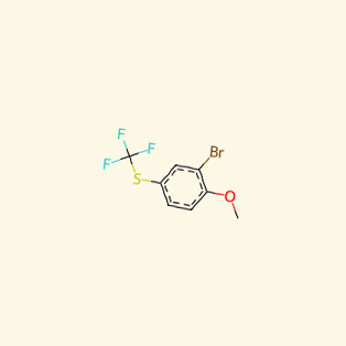 COc1ccc(SC(F)(F)F)cc1Br